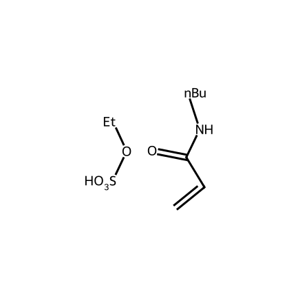 C=CC(=O)NCCCC.CCOS(=O)(=O)O